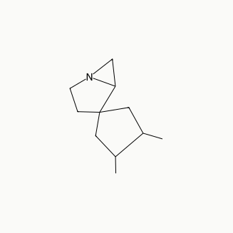 CC1CC2(CCN3CC32)CC1C